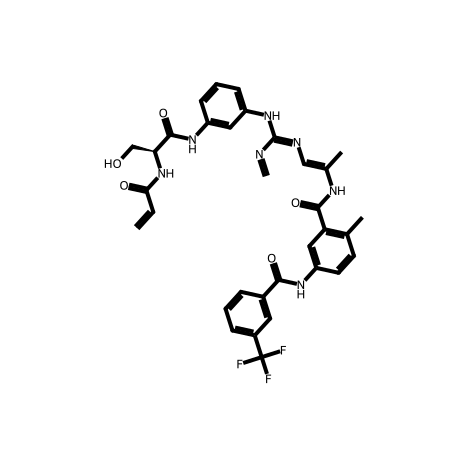 C=CC(=O)N[C@@H](CO)C(=O)Nc1cccc(N/C(N=C)=N/C=C(\C)NC(=O)c2cc(NC(=O)c3cccc(C(F)(F)F)c3)ccc2C)c1